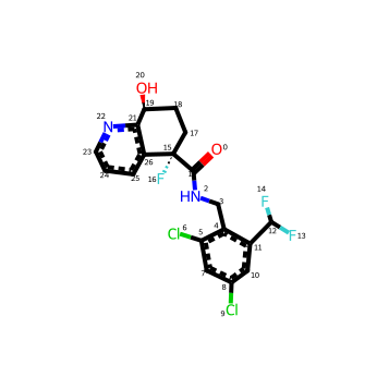 O=C(NCc1c(Cl)cc(Cl)cc1C(F)F)[C@]1(F)CC[C@H](O)c2ncccc21